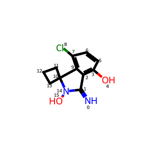 N=C1c2c(O)ccc(Cl)c2C2(CCC2)N1O